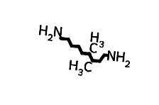 CC(CCN)C(C)CCCCCN